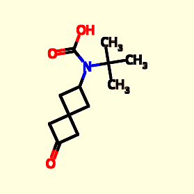 CC(C)(C)N(C(=O)O)C1CC2(CC(=O)C2)C1